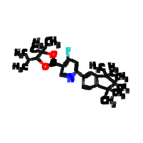 CC(C)C1OB(c2cnc(-c3ccc4c(c3)C(C)(C)C(C)(C)C4(C)C)cc2F)OC1(C)C